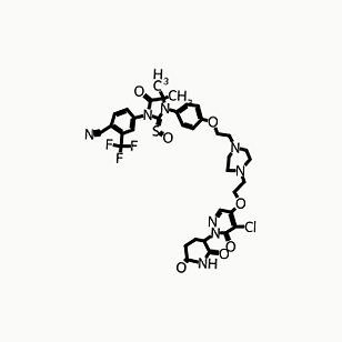 CC1(C)C(=O)N(c2ccc(C#N)c(C(F)(F)F)c2)C(=S=O)N1c1ccc(OCCN2CCN(CCOc3cnn(C4CCC(=O)NC4=O)c(=O)c3Cl)CC2)cc1